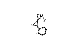 C=C1[CH]C1c1[c]cccc1